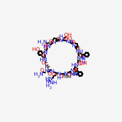 CCCC[C@H]1C(=O)N(C)[C@@H](CCCC)C(=O)N[C@@H](CCCNC(=N)N)C(=O)NC(C(=O)NCC(N)=O)CSCC(=O)N[C@@H](Cc2ccc(O)cc2)C(=O)N(C)[C@@H](C)C(=O)N[C@@H](CC(N)=O)C(=O)N2CCC[C@H]2C(=O)N[C@@H](CCO)C(=O)N[C@@H](CO)C(=O)N2CCC[C@H]2C(=O)N[C@@H](Cc2c[nH]c3ccccc23)C(=O)N[C@@H](CO)C(=O)N[C@@H](Cc2c[nH]c3ccccc23)C(=O)N1C